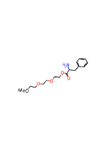 COCCOCCOCCOC(=O)[C@@H](N)Cc1ccccc1